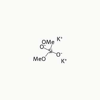 CO[Si]([O-])([O-])OC.[K+].[K+]